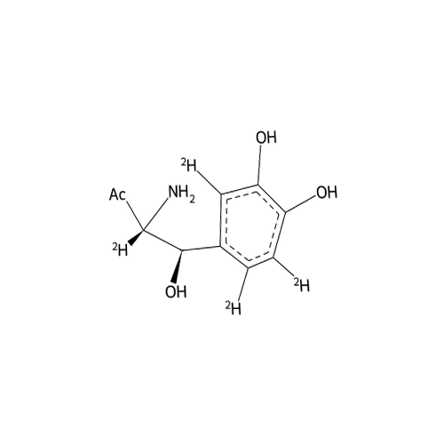 [2H]c1c([2H])c([C@@H](O)[C@@]([2H])(N)C(C)=O)c([2H])c(O)c1O